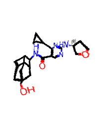 O=C(NC1C2CC3CC1CC(O)(C3)C2)c1cnc(N[C@@H]2CCOC2)nc1C1CC1